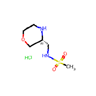 CS(=O)(=O)NC[C@@H]1COCCN1.Cl